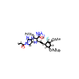 C=CC(=O)N1CC[C@H](/N=C(C#Cc2cc(OC)cc(OC)c2F)\C(C(N)=O)=C(/N)NC)C1